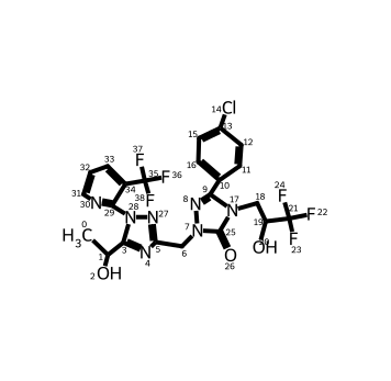 CC(O)c1nc(Cn2nc(-c3ccc(Cl)cc3)n(CC(O)C(F)(F)F)c2=O)nn1-c1ncccc1C(F)(F)F